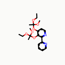 CCOC(C)(OC)Oc1ccnc(-c2ccccn2)c1OC(C)(OC)OCC